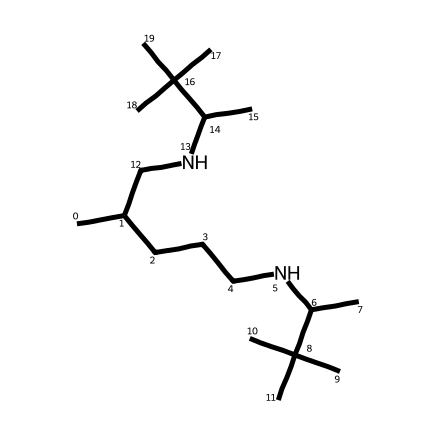 CC(CCCNC(C)C(C)(C)C)CNC(C)C(C)(C)C